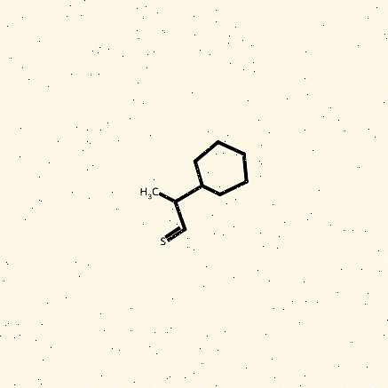 CC(C=S)C1CCCCC1